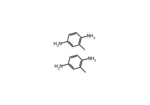 Cc1cc(N)ccc1N.Cc1cc(N)ccc1N